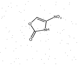 O=c1[nH]c([N+](=O)[O-])co1